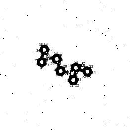 c1cc(-c2cccc(-n3c4ccccc4c4c5c(ccc43)sc3ccccc35)c2)cc(-n2c3ccccc3c3ccccc32)c1